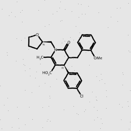 COc1ccccc1CC1C(=O)N(C[C@H]2CCCO2)C(C)=C(C(=O)O)[C@@H]1c1ccc(Cl)cc1